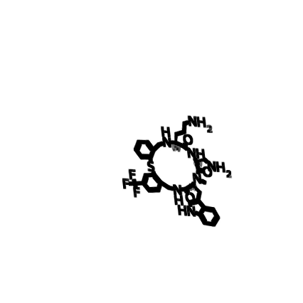 CN1C(=O)[C@H](CN)NC(=O)[C@H](CCCN)NCc2ccccc2Sc2cc(C(F)(F)F)ccc2CNC(=O)[C@@H]1Cc1c[nH]c2ccccc12